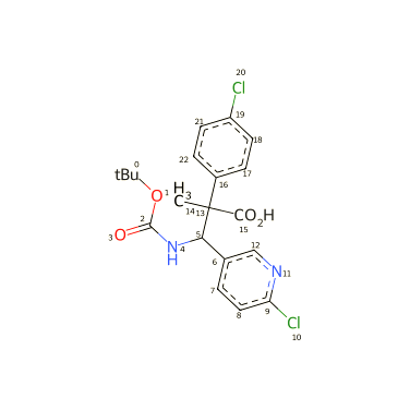 CC(C)(C)OC(=O)NC(c1ccc(Cl)nc1)C(C)(C(=O)O)c1ccc(Cl)cc1